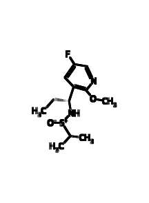 CC[C@@H](N[S+]([O-])C(C)C)c1cc(F)cnc1OC